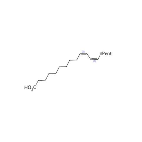 CCCCC/C=C\C=C/CCCCCCCCC(=O)O